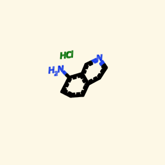 Cl.Nc1cccc2ccncc12